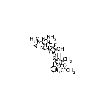 CC(C)OC(=O)[C@H](C)NP(=O)(Cc1ccccc1)OC[C@H]1O[C@@H](n2cnc3c(N(C)C4CC4)nc(N)nc32)[C@](C)(F)[C@@H]1O